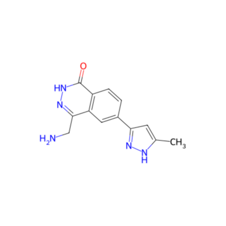 Cc1cc(-c2ccc3c(=O)[nH]nc(CN)c3c2)n[nH]1